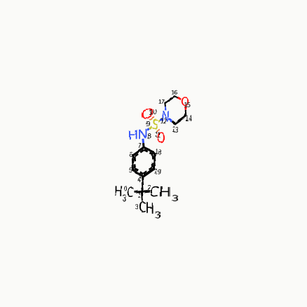 CC(C)(C)c1ccc(NS(=O)(=O)N2CCOCC2)cc1